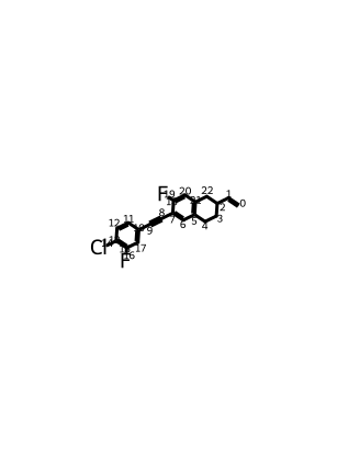 C=CC1CCc2cc(C#Cc3ccc(Cl)c(F)c3)c(F)cc2C1